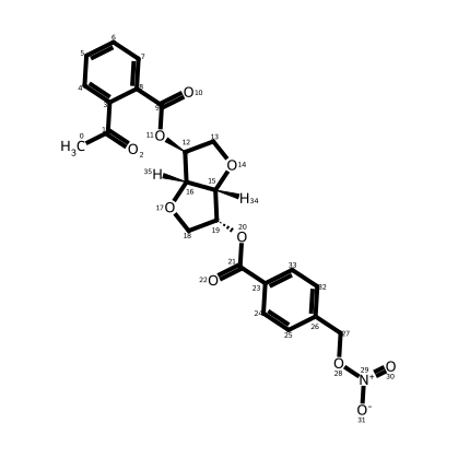 CC(=O)c1ccccc1C(=O)O[C@H]1CO[C@H]2[C@@H]1OC[C@H]2OC(=O)c1ccc(CO[N+](=O)[O-])cc1